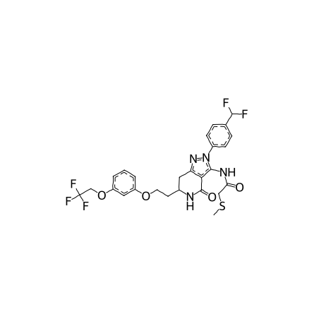 CSCC(=O)Nc1c2c(nn1-c1ccc(C(F)F)cc1)CC(CCOc1cccc(OCC(F)(F)F)c1)NC2=O